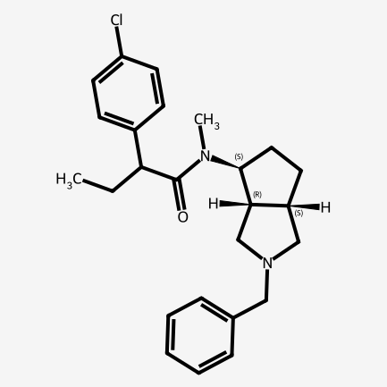 CCC(C(=O)N(C)[C@H]1CC[C@@H]2CN(Cc3ccccc3)C[C@@H]21)c1ccc(Cl)cc1